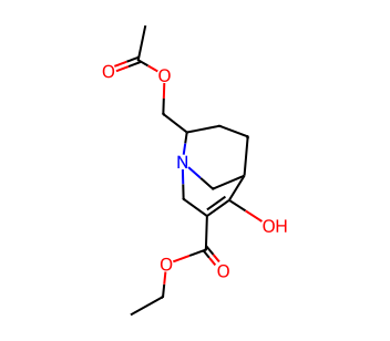 CCOC(=O)C1=C(O)C2CCC(COC(C)=O)N(C1)C2